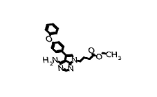 CCOC(=O)CCCn1cc(-c2ccc(Oc3ccccc3)cc2)c2c(N)ncnc21